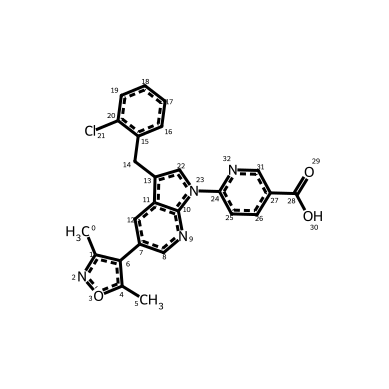 Cc1noc(C)c1-c1cnc2c(c1)c(Cc1ccccc1Cl)cn2-c1ccc(C(=O)O)cn1